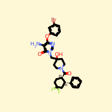 Nc1c(Oc2cccc(Br)c2)ncn(CC2(O)CCN(C(=O)[C@@H]3CCC(F)(F)C[C@H]3c3ccccc3)CC2)c1=O